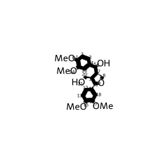 COc1ccc([C@@H](O)[C@@H]2CO[C@H](c3ccc(OC)c(OC)c3)[C@H]2CO)cc1OC